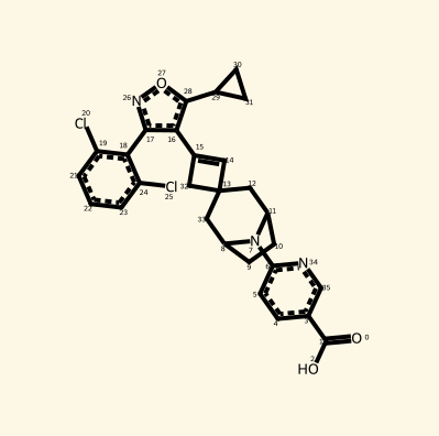 O=C(O)c1ccc(N2C3CCC2CC2(C=C(c4c(-c5c(Cl)cccc5Cl)noc4C4CC4)C2)C3)nc1